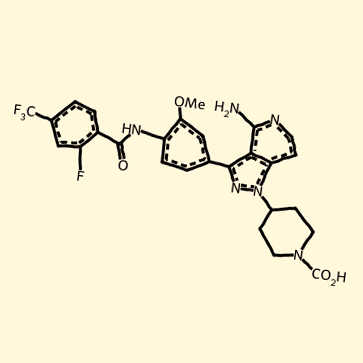 COc1cc(-c2nn(C3CCN(C(=O)O)CC3)c3ccnc(N)c23)ccc1NC(=O)c1ccc(C(F)(F)F)cc1F